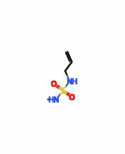 C=CCNS([NH])(=O)=O